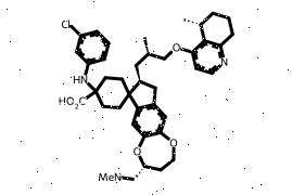 CNC[C@H]1CCOc2cc3c(cc2O1)C1(CCC(Nc2cccc(Cl)c2)(C(=O)O)CC1)[C@@H](C[C@@H](C)COc1ccnc2c1[C@H](C)CCC2)C3